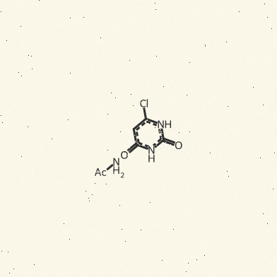 CC(N)=O.O=c1cc(Cl)[nH]c(=O)[nH]1